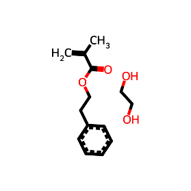 C=C(C)C(=O)OCCc1ccccc1.OCCO